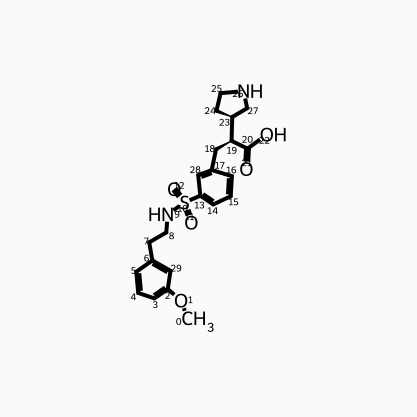 COc1cccc(CCNS(=O)(=O)c2cccc(C[C@H](C(=O)O)[C@H]3CCNC3)c2)c1